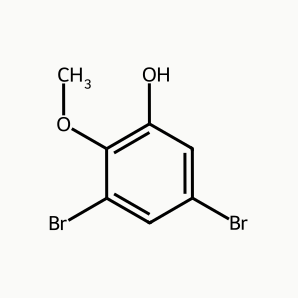 COc1c(O)cc(Br)cc1Br